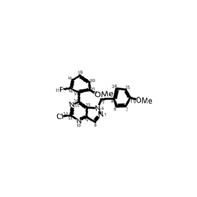 COc1ccc(Cn2ncc3nc(Cl)nc(-c4c(F)cccc4OC)c32)cc1